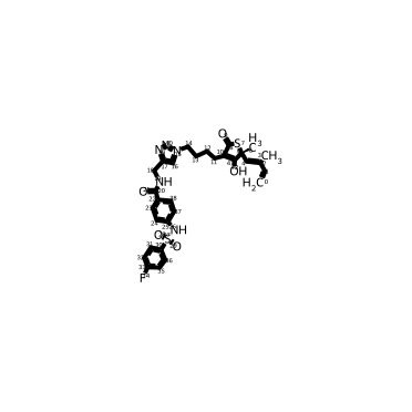 C=C/C(C)=C/[C@@]1(C)SC(=O)C(CCCCn2cc(CNC(=O)c3ccc(NS(=O)(=O)c4ccc(F)cc4)cc3)nn2)=C1O